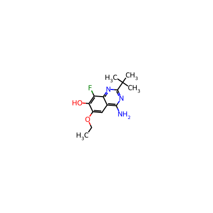 CCOc1cc2c(N)nc(C(C)(C)C)nc2c(F)c1O